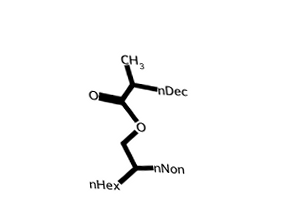 CCCCCCCCCCC(C)C(=O)OCC(CCCCCC)CCCCCCCCC